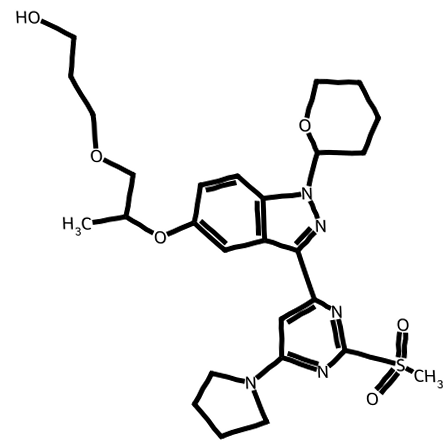 CC(COCCCO)Oc1ccc2c(c1)c(-c1cc(N3CCCC3)nc(S(C)(=O)=O)n1)nn2C1CCCCO1